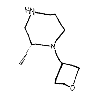 C[C@@H]1CNCCN1C1COC1